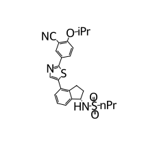 CCCS(=O)(=O)N[C@H]1CCc2c(-c3cnc(-c4ccc(OC(C)C)c(C#N)c4)s3)cccc21